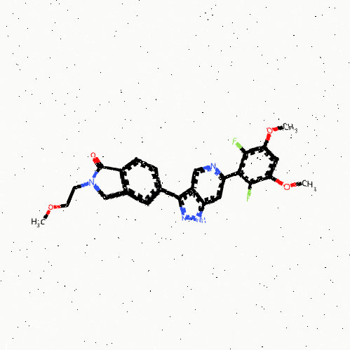 COCCN1Cc2cc(-c3n[nH]c4cc(-c5c(F)c(OC)cc(OC)c5F)ncc34)ccc2C1=O